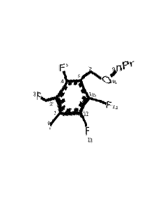 [CH2]c1c(F)c(F)c(COCCC)c(F)c1F